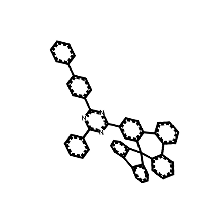 c1ccc(-c2ccc(-c3nc(-c4ccccc4)nc(-c4ccc5c(c4)C4(c6ccccc6-c6ccccc6-5)c5ccccc5-c5ccccc54)n3)cc2)cc1